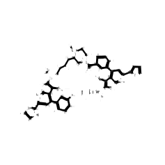 CCCC[S+]([O-])c1sc2nc(-c3cccs3)cc(-c3cccc(C(=O)N4CCN(C)C(CCCC[S+]([O-])c5sc6nc(-c7nccs7)cc(-c7cccc(C(=O)O)c7)c6c5N)C4)c3)c2c1N